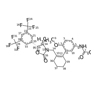 COc1ccc(NC(C)=O)cc1C1=C(CN2C(=O)O[C@H](c3cc(C(F)(F)F)cc(C(F)(F)F)c3)[C@@H]2C)CCCC1